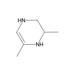 CC1=CNCC(C)N1